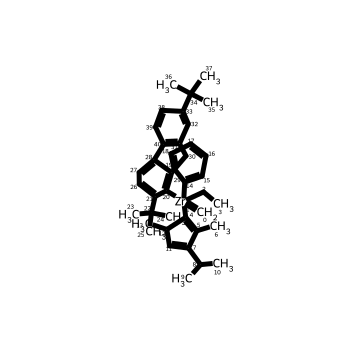 [CH2]=[Zr]([CH2]C)([C]1=C(C)C(C(C)C)=CC1C)([c]1ccccc1)[c]1c(C(C)(C)C)ccc2c1Cc1cc(C(C)(C)C)ccc1-2